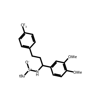 COc1ccc(C(CCc2ccc(C(F)(F)F)cc2)N[S+]([O-])C(C)(C)C)cc1OC